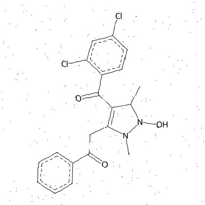 CC1C(C(=O)c2ccc(Cl)cc2Cl)=C(CC(=O)c2ccccc2)N(C)N1O